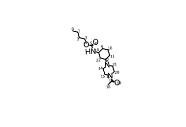 CCCCOC(=O)NC1CCCC(N2CCN(C(C)=O)CC2)C1